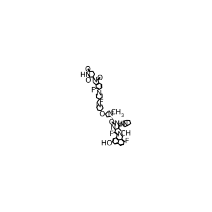 C#Cc1c(F)ccc2cc(O)cc(-c3ncc4c(N5CC6CCC(C5)N6)nc(OC[C@@H]5C[C@@H](OC6CCN(CC7(F)CCN(c8ccc9c(c8F)CN(C8CCC(=O)NC8=O)C9=O)CC7)CC6)CN5C)nc4c3F)c12